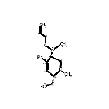 C=CCON(C)[C@H]1CN(C)[C@H](CO)C=C1C(C)C